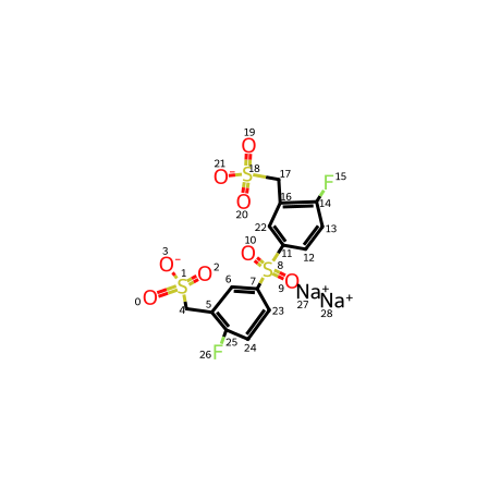 O=S(=O)([O-])Cc1cc(S(=O)(=O)c2ccc(F)c(CS(=O)(=O)[O-])c2)ccc1F.[Na+].[Na+]